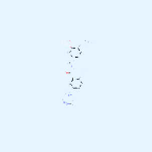 COc1ccc([C@@H](C)NC(=O)c2cc(N3CCN(C)CC3)ccc2C)cc1O